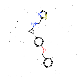 c1ccc(COc2ccc([C@@H]3C[C@H]3NCc3nccs3)cc2)cc1